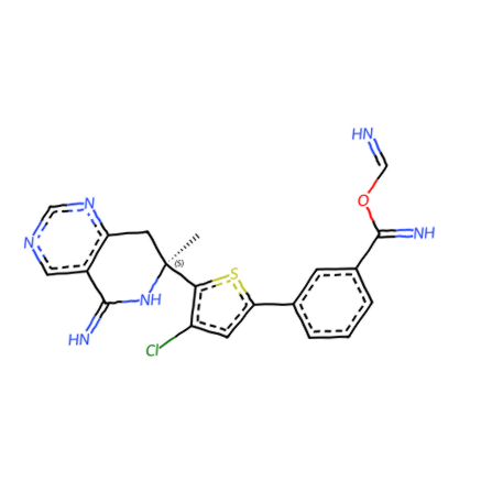 C[C@@]1(c2sc(-c3cccc(C(=N)OC=N)c3)cc2Cl)Cc2ncncc2C(=N)N1